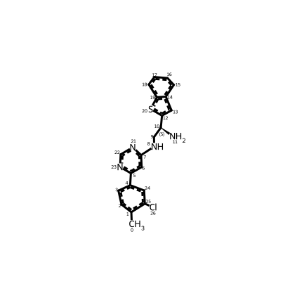 Cc1ccc(-c2cc(NC[C@H](N)c3cc4ccccc4s3)ncn2)cc1Cl